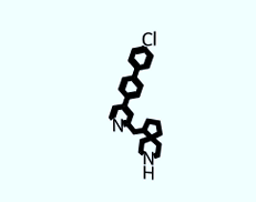 Clc1ccc(-c2ccc(-c3ccnc(CC4CCCC45CCNCC5)c3)cc2)cc1